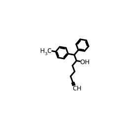 C#CCCCC(O)C(c1ccccc1)c1ccc(C)cc1